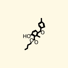 CCCCOC(=O)c1c(O)ccc(C(=O)c2ccc(C)cc2)c1C